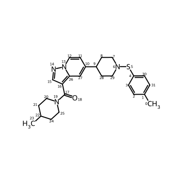 Cc1ccc(SN2CCC(c3ccn4ncc(C(=O)N5CCC(C)CC5)c4c3)CC2)cc1